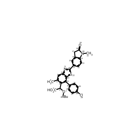 CCCCOC(C(=O)O)c1c(C)cc2nc(-c3ccc4c(c3)CC(=O)N4C)sc2c1-c1ccc(Cl)cc1